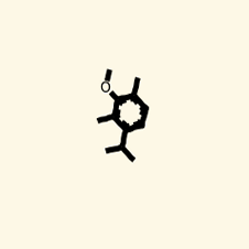 COc1c(C)ccc(C(C)C)c1C